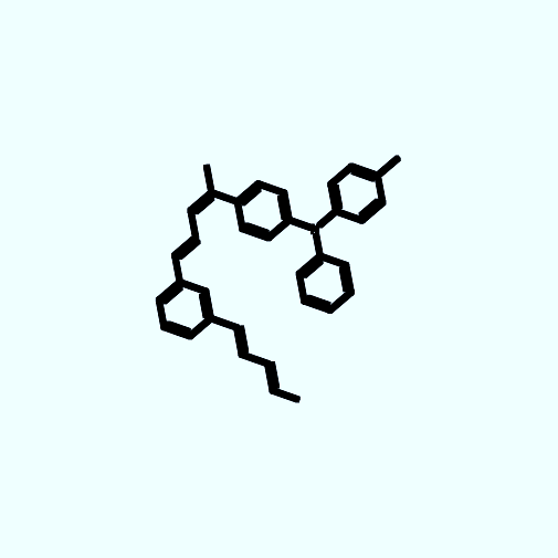 CC=CC=Cc1cccc(C=CC=C(C)c2ccc(N(c3ccccc3)c3ccc(C)cc3)cc2)c1